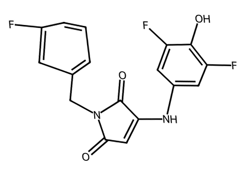 O=C1C=C(Nc2cc(F)c(O)c(F)c2)C(=O)N1Cc1cccc(F)c1